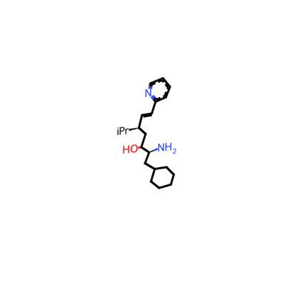 CC(C)[C@@H](/C=C/c1ccccn1)C[C@H](O)[C@@H](N)CC1CCCCC1